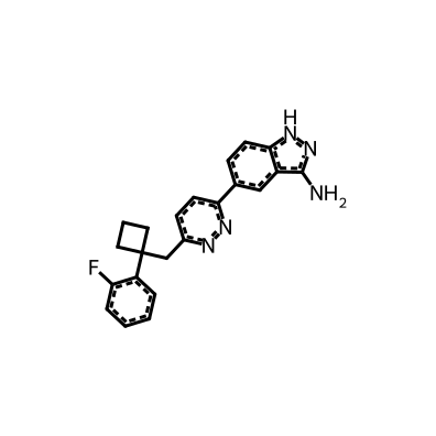 Nc1n[nH]c2ccc(-c3ccc(CC4(c5ccccc5F)CCC4)nn3)cc12